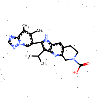 Cc1c(-c2[nH]c3cc4c(nc3c2C(C)C)CN(C(=O)O)CC4)cn2ncnc2c1C